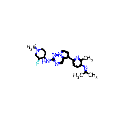 CC(C)=Nc1ccc(-c2ccn3nc(NC4CCN(C)CC4F)ncc23)nc1C